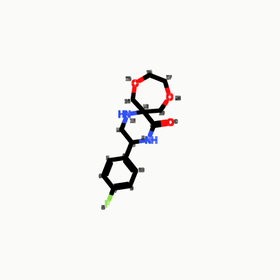 O=C1NC(c2ccc(F)cc2)CNC12COCCOC2